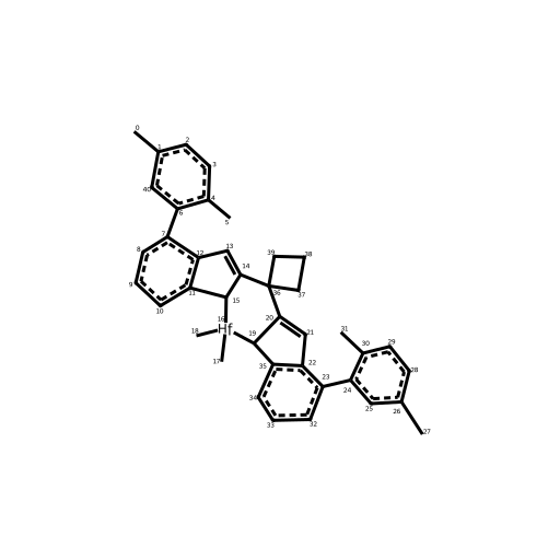 Cc1ccc(C)c(-c2cccc3c2C=C2[CH]3[Hf]([CH3])([CH3])[CH]3C(=Cc4c(-c5cc(C)ccc5C)cccc43)C23CCC3)c1